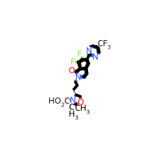 CC1(C)OC[C@@H](CCCn2ccc3cc(-c4ncc(C(F)(F)F)cn4)c(F)c(F)c3c2=O)N1C(=O)O